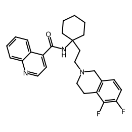 O=C(NC1(CCN2CCc3c(ccc(F)c3F)C2)CCCCC1)c1ccnc2ccccc12